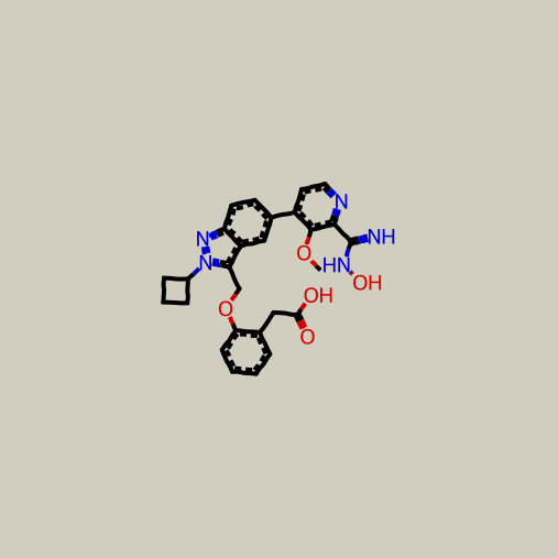 COc1c(-c2ccc3nn(C4CCC4)c(COc4ccccc4CC(=O)O)c3c2)ccnc1C(=N)NO